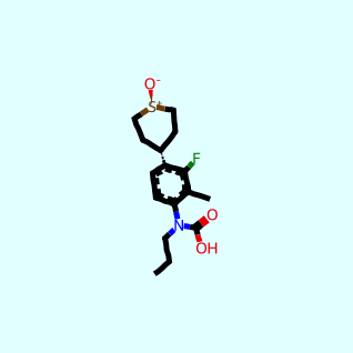 CCCN(C(=O)O)c1ccc([C@H]2CC[S@+]([O-])CC2)c(F)c1C